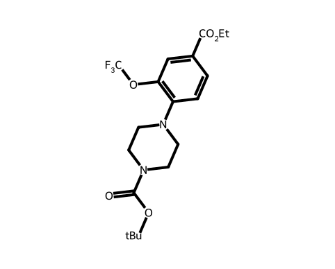 CCOC(=O)c1ccc(N2CCN(C(=O)OC(C)(C)C)CC2)c(OC(F)(F)F)c1